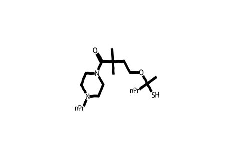 CCCN1CCN(C(=O)C(C)(C)CCOC(C)(S)CCC)CC1